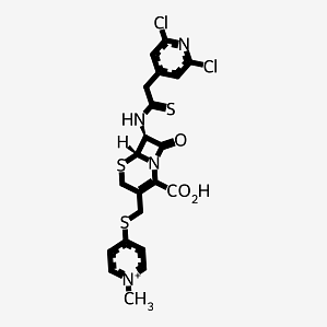 C[n+]1ccc(SCC2=C(C(=O)O)N3C(=O)[C@H](NC(=S)Cc4cc(Cl)nc(Cl)c4)[C@H]3SC2)cc1